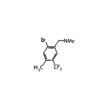 CNCc1cc(C(F)(F)F)c(C)cc1Br